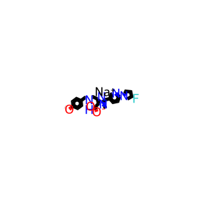 COc1ccc(CNCc2nc(-c3ccc(N4CC[C@@H](F)C4)nc3)n(C)c2C(=O)[O-])cc1.[Na+]